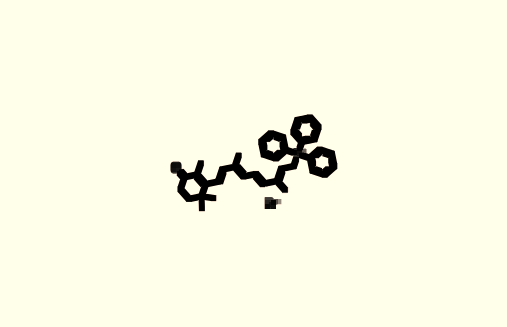 CC(C=CC1=C(C)C(=O)CCC1(C)C)=CC=CC(C)=CC[P+](c1ccccc1)(c1ccccc1)c1ccccc1.[Br-]